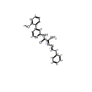 COc1ncccc1-c1ccnc(NC(=O)/C(N)=N/N=C/Cc2ccccc2)c1